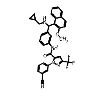 COc1ccc2ccccc2c1C(NCC1CC1)c1cccc(NC(=O)c2cc(C(F)(F)F)nn2-c2cccc(C#N)c2)c1